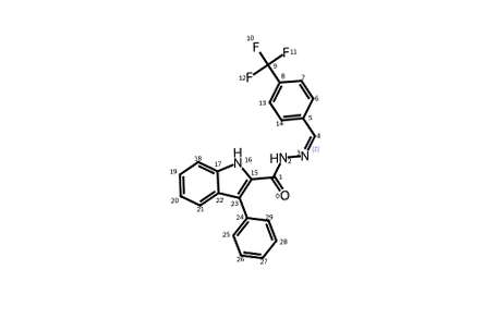 O=C(N/N=C\c1ccc(C(F)(F)F)cc1)c1[nH]c2ccccc2c1-c1ccccc1